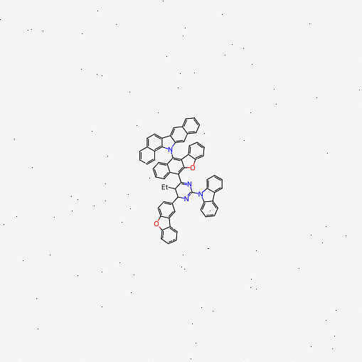 CCC1C(c2c3ccccc3c(-n3c4cc5ccccc5cc4c4ccc5ccccc5c43)c3c2oc2ccccc23)=NC(n2c3ccccc3c3ccccc32)=NC1c1ccc2oc3ccccc3c2c1